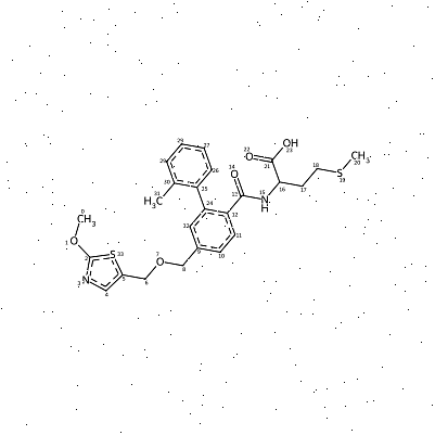 COc1ncc(COCc2ccc(C(=O)NC(CCSC)C(=O)O)c(-c3ccccc3C)c2)s1